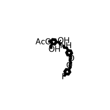 CC(=O)Oc1ccc([C@@H](O)CNCCc2ccc(OCCOCc3ccc(F)cc3)cc2)cc1CO